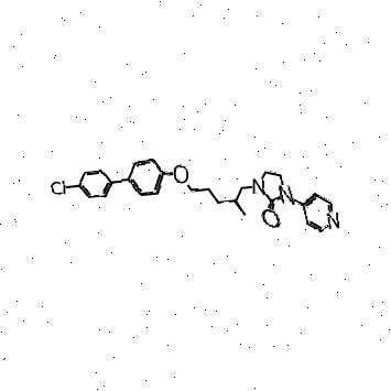 CC(CCCOc1ccc(-c2ccc(Cl)cc2)cc1)CN1CCN(c2ccncc2)C1=O